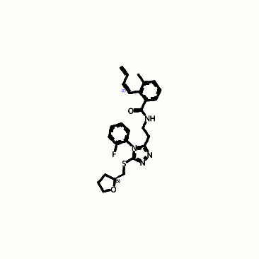 C=C/C=C\c1c(C)cccc1C(=O)NCCc1nnc(SC[C@@H]2CCCO2)n1-c1ccccc1F